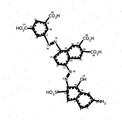 Nc1ccc2cc(S(=O)(=O)O)c(N=Nc3ccc(N=Nc4cc(C(=O)O)cc(C(=O)O)c4)c4cc(C(=O)O)c(C(=O)O)cc34)c(O)c2c1